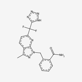 Cc1nn(Cc2ccccc2C(N)=O)c2nc(C(F)(F)c3nnn[nH]3)ccc12